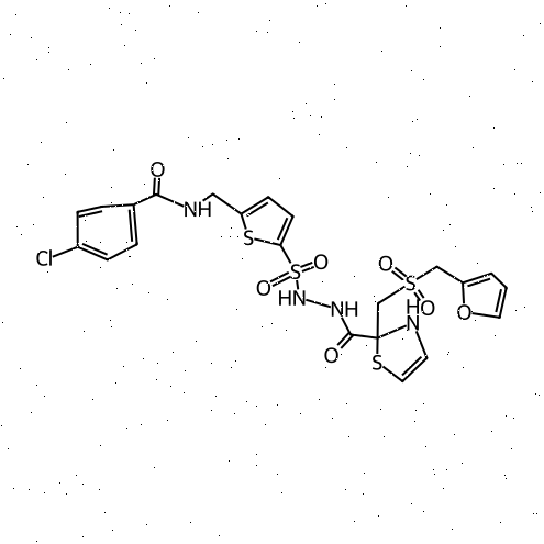 O=C(NCc1ccc(S(=O)(=O)NNC(=O)C2(CS(=O)(=O)Cc3ccco3)NC=CS2)s1)c1ccc(Cl)cc1